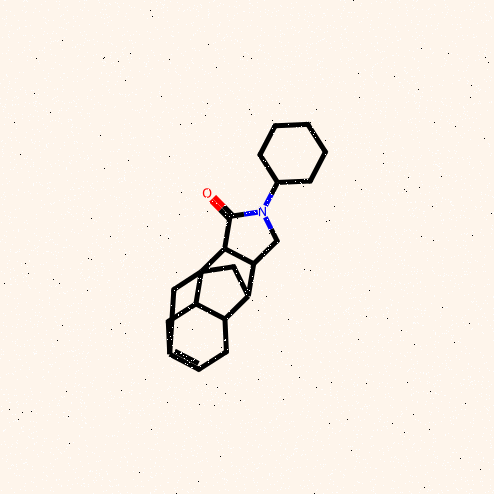 O=C1C2C(CN1C1CCCCC1)C1CC23CC2=CCC1C3C2